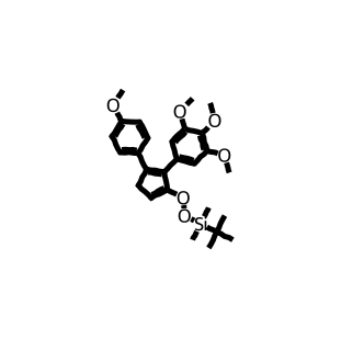 COc1ccc(C2=C(c3cc(OC)c(OC)c(OC)c3)C(OO[Si](C)(C)C(C)(C)C)=CC2)cc1